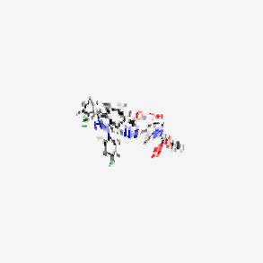 CC(C)(C)OC(=O)N1CC(O)C(NC(=O)c2ccc3c(-c4ccccc4Cl)nn(-c4ccc(F)cc4)c3c2)C1